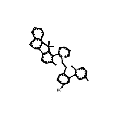 Cc1cc[n+](C)c(-c2cc(C#N)ccc2CC[n+]2ccccc2-c2c(C)ccc3c2C(C)(C)c2c-3ccc3ccccc23)c1